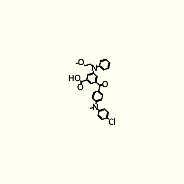 COCCN(c1ccccc1)c1cc(C(=O)O)cc(C(=O)c2ccc(N(C)c3ccc(Cl)cc3)cc2)c1